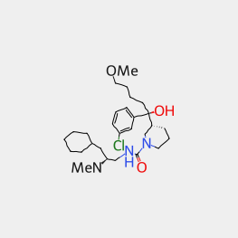 CN[C@H](CNC(=O)N1CCC[C@@H]([C@@](O)(CCCCOC)c2cccc(Cl)c2)C1)CC1CCCCC1